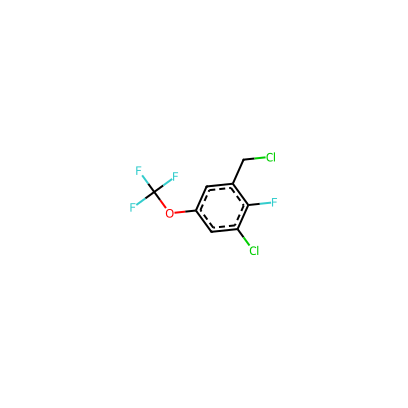 Fc1c(Cl)cc(OC(F)(F)F)cc1CCl